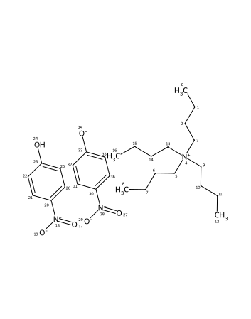 CCCC[N+](CCCC)(CCCC)CCCC.O=[N+]([O-])c1ccc(O)cc1.O=[N+]([O-])c1ccc([O-])cc1